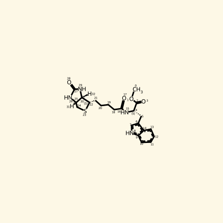 COC(=O)[C@H](Cc1c[nH]c2ccccc12)NC(=O)CCCC[C@@H]1SC[C@@H]2NC(=O)N[C@@H]21